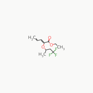 C=C/C=C(\OC(C)CC(F)(F)F)C(=O)OCC